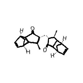 C[C@H]1C2C(C(=O)[C@@H]1C[C@H]1C(=O)C3C([C@H]4C=C[C@@H]3C4)[C@@H]1C)[C@@H]1C=C[C@H]2C1